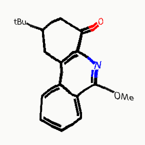 COc1nc2c(c3ccccc13)CC(C(C)(C)C)CC2=O